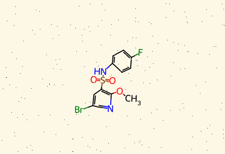 COc1ncc(Br)cc1S(=O)(=O)Nc1ccc(F)cc1